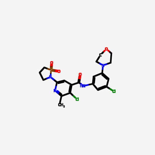 Cc1nc(N2CCCS2(=O)=O)cc(C(=O)Nc2cc(Cl)cc(N3CCOCC3)c2)c1Cl